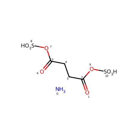 N.O=C(CCC(=O)OS(=O)(=O)O)OS(=O)(=O)O